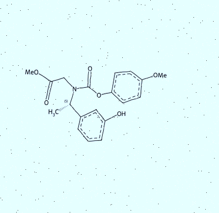 COC(=O)CN(C(=O)Oc1ccc(OC)cc1)[C@@H](C)c1cccc(O)c1